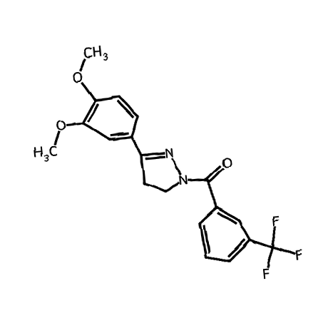 COc1ccc(C2=NN(C(=O)c3cccc(C(F)(F)F)c3)CC2)cc1OC